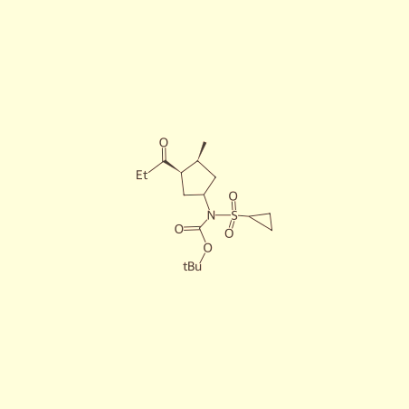 CCC(=O)[C@@H]1CC(N(C(=O)OC(C)(C)C)S(=O)(=O)C2CC2)C[C@@H]1C